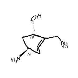 N[C@@H]1C=C(CO)[C@@H](O)C1